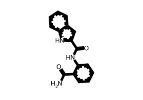 NC(=O)c1ccccc1NC(=O)c1cc2ccccc2[nH]1